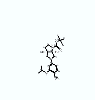 CC(C)Oc1nc(N2C[C@H]3CCN(C(=O)OC(C)(C)C)[C@H]3C2)ccc1N